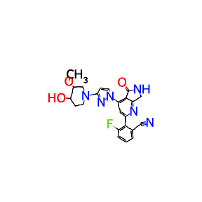 CO[C@H]1CN(c2ccn(-c3cc(-c4c(F)cccc4C#N)nc4c3C(=O)NC4)n2)CC[C@H]1O